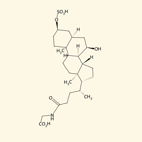 C[C@H](CCC(=O)NCC(=O)O)[C@H]1CC[C@H]2[C@@H]3[C@H](O)C[C@@H]4C[C@H](OS(=O)(=O)O)CC[C@]4(C)[C@H]3CC[C@]12C